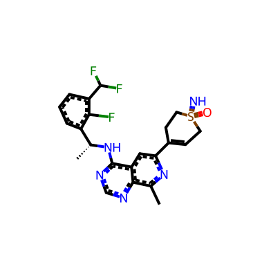 Cc1nc(C2=CCS(=N)(=O)CC2)cc2c(N[C@H](C)c3cccc(C(F)F)c3F)ncnc12